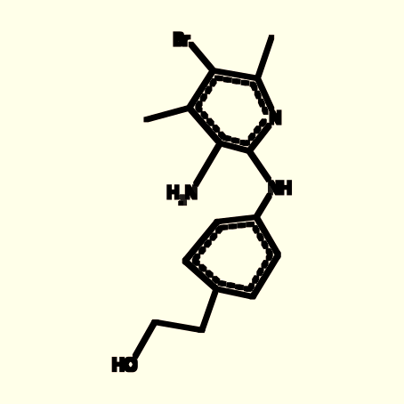 Cc1nc(Nc2ccc(CCO)cc2)c(N)c(C)c1Br